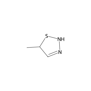 CC1C=NNS1